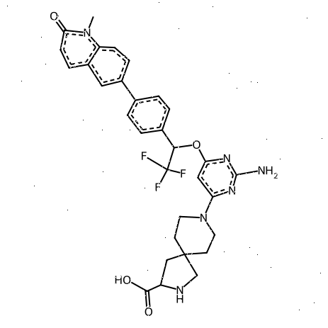 Cn1c(=O)ccc2cc(-c3ccc(C(Oc4cc(N5CCC6(CC5)CNC(C(=O)O)C6)nc(N)n4)C(F)(F)F)cc3)ccc21